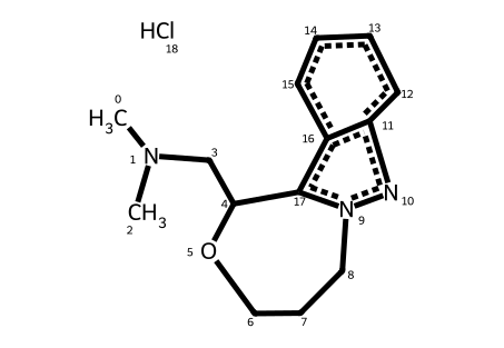 CN(C)CC1OCCCn2nc3ccccc3c21.Cl